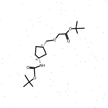 CC(C)(C)OC(=O)COC[C@H]1CC[C@@H](NC(=O)OC(C)(C)C)C1